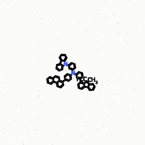 CC1(C)c2ccccc2-c2cccc(-c3cccc(N(c4ccc(-c5cccc6c5ccc5ccccc56)cc4)c4cccc(-n5c6ccccc6c6ccccc65)c4)c3)c21